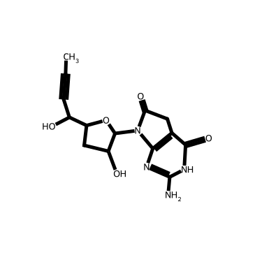 CC#CC(O)C1CC(O)C(N2C(=O)Cc3c2nc(N)[nH]c3=O)O1